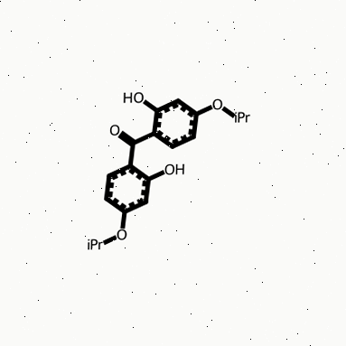 CC(C)Oc1ccc(C(=O)c2ccc(OC(C)C)cc2O)c(O)c1